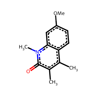 COc1ccc2c(C)c(C)c(=O)n(C)c2c1